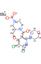 CC(C)(C)OC(=O)N1CCN2C(=O)c3c(N4CCOCC4)nc(Cl)c(Cl)c3OCC2C1